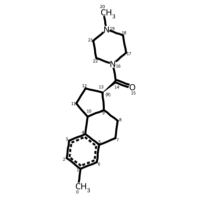 Cc1ccc2c(c1)CCC1C2CC[C@H]1C(=O)N1CCN(C)CC1